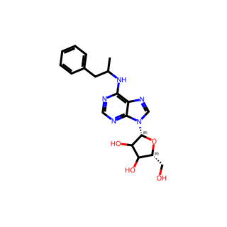 CC(Cc1ccccc1)Nc1ncnc2c1ncn2[C@@H]1O[C@H](CO)C(O)C1O